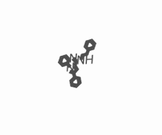 c1ccc(CCNc2nc3ccccc3n3cc(-c4ccccc4)cc23)cc1